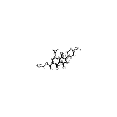 CCOC(=O)c1cn(C2CC2)c2c(C)c(N3CCN(C)CC3)c(F)c(Cl)c2c1=O